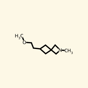 COCCC1CC2(C1)CN(C)C2